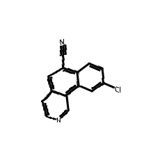 N#Cc1cc2ccncc2c2cc(Cl)ccc12